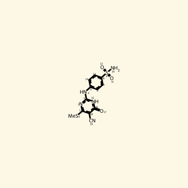 CSc1nc(Nc2ccc(S(N)(=O)=O)cc2)[nH]c(=O)c1C#N